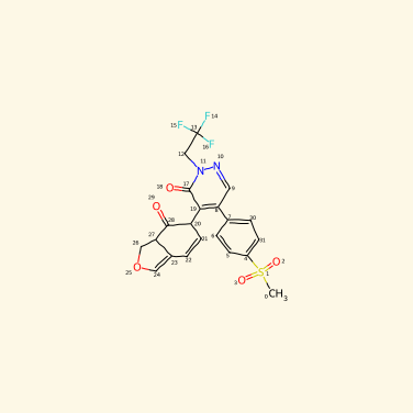 CS(=O)(=O)c1ccc(-c2cnn(CC(F)(F)F)c(=O)c2C2C=CC3=COCC3C2=O)cc1